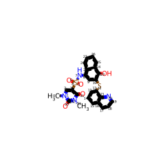 Cn1cc(S(=O)(=O)Nc2cc(Sc3cccc4cccnc34)c(O)c3ccccc23)c(=O)n(C)c1=O